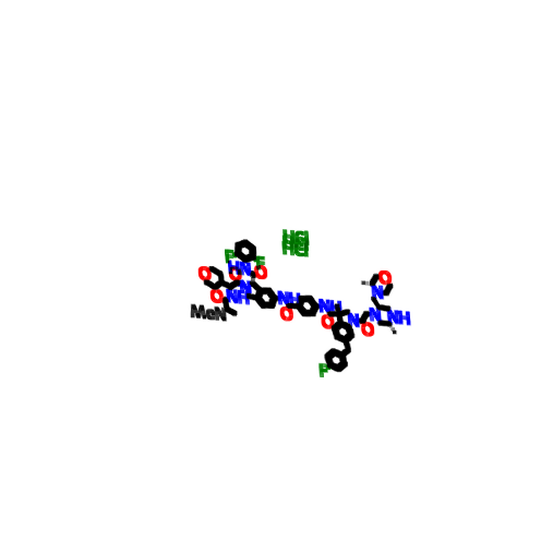 CN[C@@H](C)C(=O)N[C@H](C(=O)N1Cc2ccc(NC(=O)c3ccc(NC(=O)C4(C)CN(C(=O)CN5C[C@@H](C)NC[C@@H]5CN5CCOC[C@H]5C)c5cc(Cc6ccc(F)cc6)ccc54)cc3)cc2[C@H]1C(=O)Nc1c(F)cccc1F)C1CCOCC1.Cl.Cl.Cl